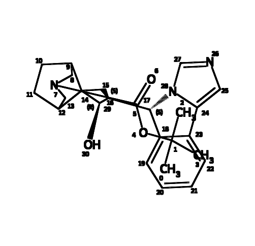 CC(C)(C)OC(=O)N1CC2CCC(C1)C21C[C@@H]([C@H]2c3ccccc3-c3cncn32)[C@H]1O